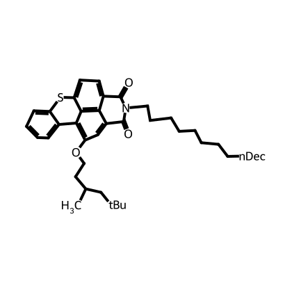 CCCCCCCCCCCCCCCCCCn1c(=O)c2ccc3sc4ccccc4c4c(OCCC(C)CC(C)(C)C)cc(c1=O)c2c34